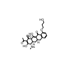 CC(=O)C1=C(O)[C@@H](N(C)C)[C@@H]2C[C@@H]3Cc4cccc(OCCCO)c4C(=O)C3=C(O)[C@]2(O)C1=O